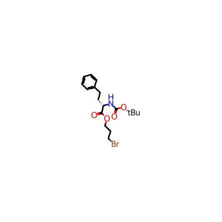 CC(C)(C)OC(=O)N[C@@H](CCc1ccccc1)C(=O)OCCCBr